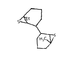 CCC12CCCC(C3CCCC4(C)SC34)C1S2